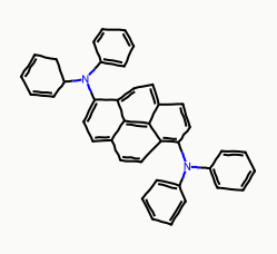 C1=CCC(N(c2ccccc2)c2ccc3ccc4c(N(c5ccccc5)c5ccccc5)ccc5ccc2c3c54)C=C1